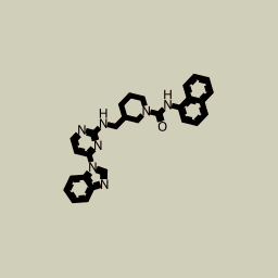 O=C(Nc1cccc2ccccc12)N1CCCC(CNc2nccc(-n3cnc4ccccc43)n2)C1